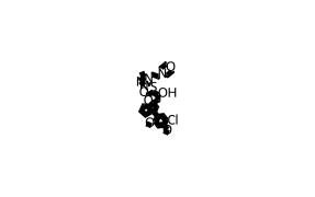 COc1cc(OC)c(CCC2(C3CCCC3)CC(O)=C(Sc3nnc(C)n3CCN3CCOCC3)C(=O)O2)cc1Cl